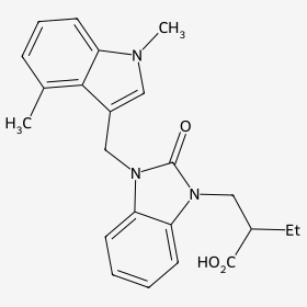 CCC(Cn1c(=O)n(Cc2cn(C)c3cccc(C)c23)c2ccccc21)C(=O)O